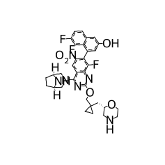 O=[N+]([O-])c1cc2c(N3C[C@H]4CC[C@@H](C3)N4)nc(OCC3(C[C@H]4CNCCO4)CC3)nc2c(F)c1-c1cc(O)cc2ccc(F)c(F)c12